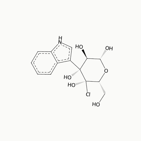 OC[C@H]1O[C@@H](O)[C@H](O)[C@](O)(c2c[nH]c3ccccc23)[C@]1(O)Cl